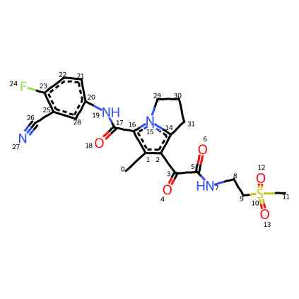 Cc1c(C(=O)C(=O)NCCS(C)(=O)=O)c2n(c1C(=O)Nc1ccc(F)c(C#N)c1)CCC2